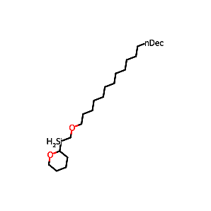 CCCCCCCCCCCCCCCCCCCCCCOC[SiH2]C1CCCCO1